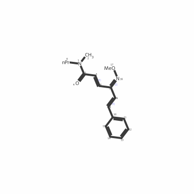 CCCN(C)C(=O)/C=C/C(/C=C/c1ccccc1)=N\OC